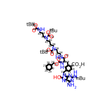 CCCCNc1nc(N)c2nc(O)n(Cc3ccc(C(=O)O)c(C[C@H](NC(=O)OCc4ccccc4)C(=O)NCCCN(CCCCN(CCCNC(=O)OC(C)(C)C)C(=O)OC(C)(C)C)C(=O)OC(C)(C)C)c3)c2n1